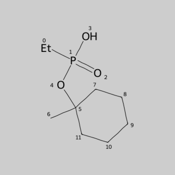 CCP(=O)(O)OC1(C)CCCCC1